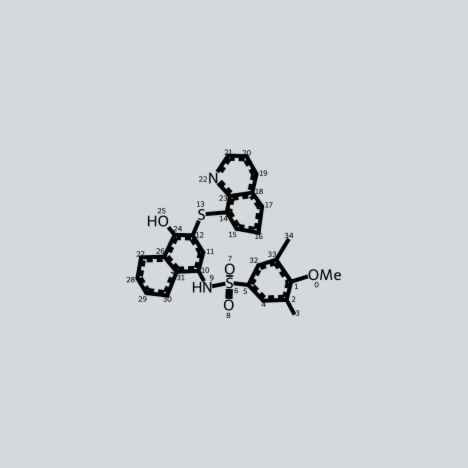 COc1c(C)cc(S(=O)(=O)Nc2cc(Sc3cccc4cccnc34)c(O)c3ccccc23)cc1C